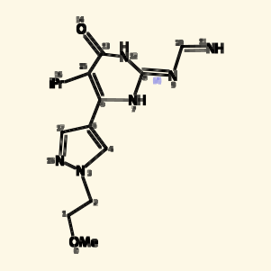 COCCn1cc(-c2[nH]/c(=N/C=N)[nH]c(=O)c2C(C)C)cn1